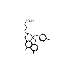 Cc1ccc(CC2(Cc3ccc(C)cc3)C[N+](CCCS(=O)(=O)O)=Cc3cc(C)ccc32)cc1